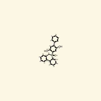 O=P1(c2cc(O)c(-c3ccccc3)cc2O)Cc2ccccc2-c2cccpc21